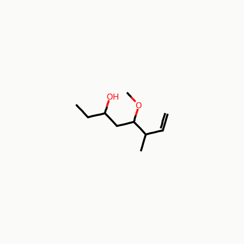 C=CC(C)C(CC(O)CC)OC